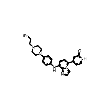 CC(C)CCN1CCN(c2ccc(Nc3ccc(-c4cc[nH]c(=O)c4)n4ccnc34)cc2)CC1